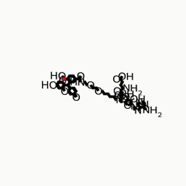 Nc1ncnc2c1ncn2[C@@H]1O[C@H](CN(CCCCCCOCCOCCNC(=O)c2ccc(C(=O)O)c(-c3c4ccc(=O)cc-4oc4cc(O)ccc34)c2)S(=O)(=O)NC(=O)[C@@H](N)CCC(=O)O)[C@@H](O)[C@H]1O